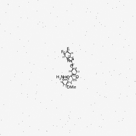 COc1ccc(N)cc1CC1COc2ccc(OCc3nc4cc(F)c(F)cc4s3)cc2C1O